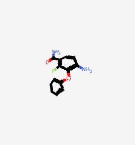 NC(=O)c1ccc(N)c(Oc2ccccc2)c1F